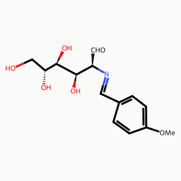 COc1ccc(C=N[C@H](C=O)[C@@H](O)[C@H](O)[C@H](O)CO)cc1